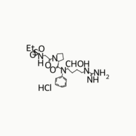 CCS(=O)(=O)NCC(=O)N1CCC[C@H]1C(=O)N(c1ccccc1)[C@H](C=O)CCCNC(=N)N.Cl